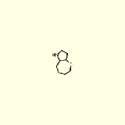 C1CC2OCCSCC2N1